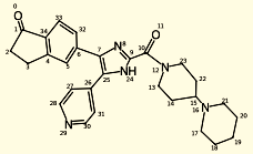 O=C1CCc2cc(-c3nc(C(=O)N4CCC(N5CCCCC5)CC4)[nH]c3-c3ccncc3)ccc21